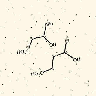 CCC(O)CCC(=O)O.CCCCC(O)CC(=O)O